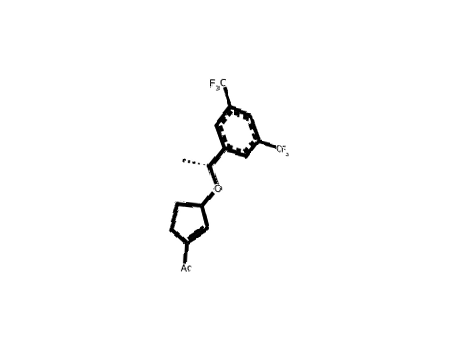 CC(=O)C1=CC(O[C@H](C)c2cc(C(F)(F)F)cc(C(F)(F)F)c2)CC1